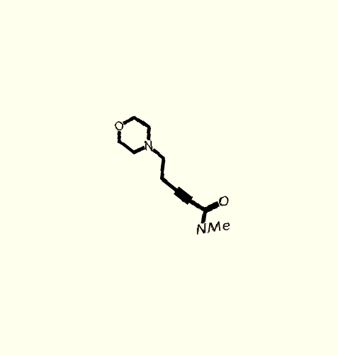 CNC(=O)C#CCCN1CCOCC1